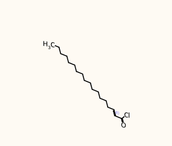 CCCCCCCCCCCCCCC/C=C/C(=O)Cl